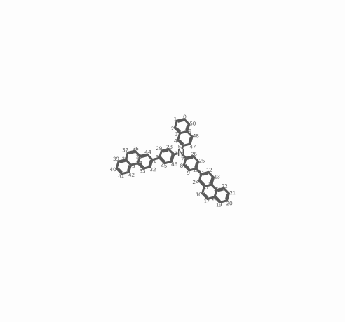 c1ccc2cc(N(c3ccc(-c4ccc5c(ccc6ccccc65)c4)cc3)c3ccc(-c4ccc5c(ccc6ccccc65)c4)cc3)ccc2c1